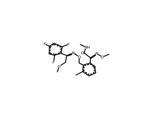 CNC(=O)/C(=N/OC)c1cccc(C)c1CO/N=C(\COC)c1c(F)cc(F)cc1F